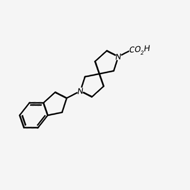 O=C(O)N1CCC2(CCN(C3Cc4ccccc4C3)C2)C1